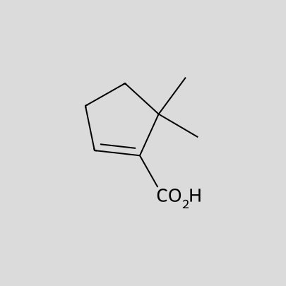 CC1(C)CCC=C1C(=O)O